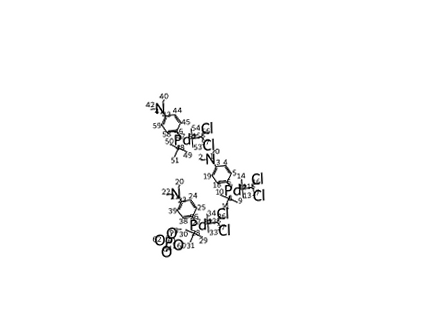 CN(C)c1cc[c]([Pd+]([C](C)(C)C)[C](C)(C)C(Cl)Cl)cc1.CN(C)c1cc[c]([Pd+]([C](C)(C)C)[C](C)(C)C(Cl)Cl)cc1.CN(C)c1cc[c]([Pd+]([C](C)(C)C)[C](C)(C)C(Cl)Cl)cc1.O=P([O-])([O-])[O-]